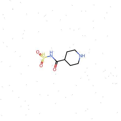 O=C(N[SH](=O)=O)C1CCNCC1